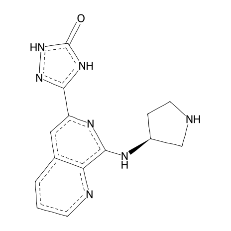 O=c1[nH]nc(-c2cc3cccnc3c(N[C@H]3CCNC3)n2)[nH]1